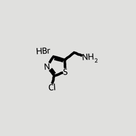 Br.NCc1cnc(Cl)s1